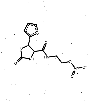 O=C1NC(C(=O)NCCO[N+](=O)[O-])C(c2cccs2)S1